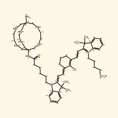 CC1(C)C(/C=C/C2=C(Cl)C(=C/C=C3/N(CCCCCC(=O)NC45CNCCNCC(N)(CNCCNC4)CNCCNC5)c4ccccc4C3(C)C)/CCC2)=[N+](CCCCS(=O)(=O)O)c2ccccc21